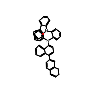 C1=Cc2ccc(-c3ccc(N(c4ccccc4)c4ccccc4-n4c5ccccc5c5ccccc54)c4ccccc34)cc2CC1